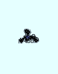 CC(C)(C)OC(=O)N(CCCn1ccnc1)C/C(=C/c1ccc(C(=O)NOC2CCCCO2)cc1)COc1cccc2ccccc12